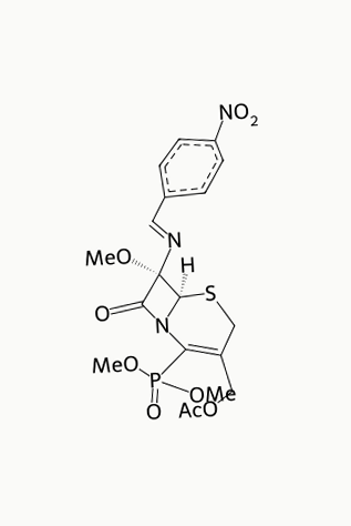 CO[C@@]1(/N=C/c2ccc([N+](=O)[O-])cc2)C(=O)N2C(P(=O)(OC)OC)=C(COC(C)=O)CS[C@@H]21